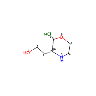 Cl.OCC[C@@H]1COCCN1